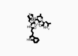 CC(C)C[C@H](NC(=O)[C@H](CC(C)C)NC(=O)[C@H](Cc1cnc[nH]1)NC(=O)CCc1c[nH]c2ccccc12)C(N)=O